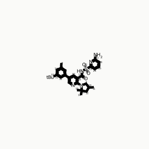 Cc1cc(-c2cnc(N3CC(C)CC3(C)C)c(C(=O)NS(=O)(=O)c3cccc(N)n3)c2)cc(C(C)(C)C)c1